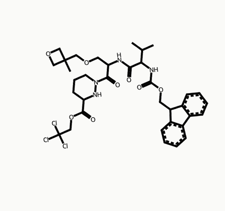 CC(C)C(NC(=O)OCC1c2ccccc2-c2ccccc21)C(=O)NC(COCC1(C)COC1)C(=O)N1CCCC(C(=O)OCC(Cl)(Cl)Cl)N1